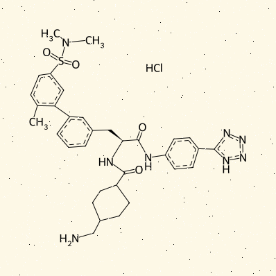 Cc1ccc(S(=O)(=O)N(C)C)cc1-c1cccc(C[C@H](NC(=O)C2CCC(CN)CC2)C(=O)Nc2ccc(-c3nnn[nH]3)cc2)c1.Cl